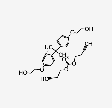 C#CCCOC(=O)OCCC#C.CC(C)(c1ccc(OCCO)cc1)c1ccc(OCCO)cc1